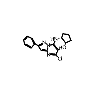 O[C@@H]1CCC[C@H]1Nc1cc(Cl)nc2cc(-c3ccccc3)nn12